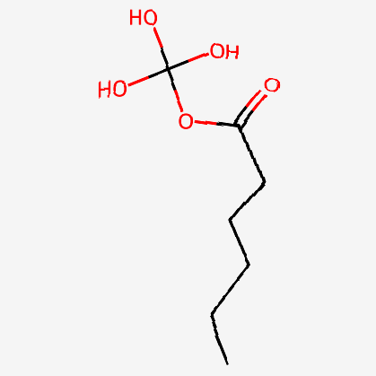 CCCCCC(=O)OC(O)(O)O